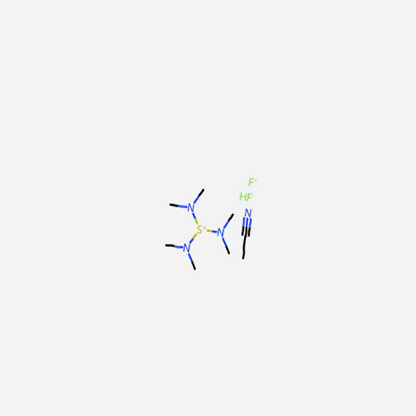 CC#N.CN(C)[S+](N(C)C)N(C)C.F.[F-]